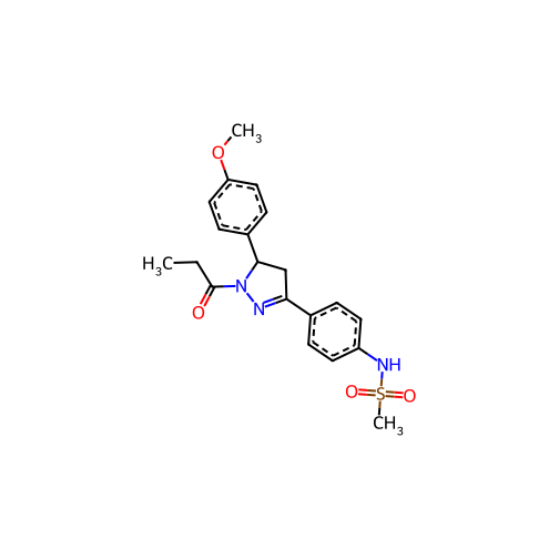 CCC(=O)N1N=C(c2ccc(NS(C)(=O)=O)cc2)CC1c1ccc(OC)cc1